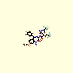 COc1ccc2c(c1)NC(=O)[C@@H](NC(=O)[C@H](CCC(F)(F)F)[C@H](CCC(F)(F)F)C(N)=O)N=C2c1ccccc1